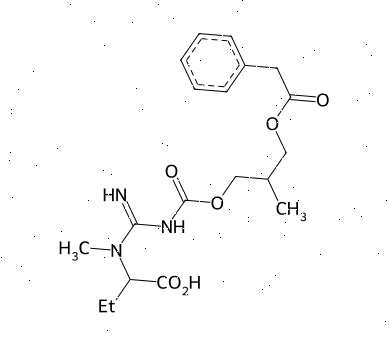 CCC(C(=O)O)N(C)C(=N)NC(=O)OCC(C)COC(=O)Cc1ccccc1